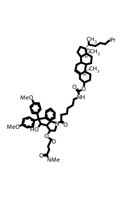 CNC(=O)CCC(=O)OC1CN(C(=O)CCCCCNC(=O)OC2CC[C@@]3(C)C(=CCC4C3CC[C@@]3(C)C4CC[C@@H]3C(C)CCCC(C)C)C2)CC1C(O)C(c1ccccc1)(c1ccc(OC)cc1)c1ccc(OC)cc1